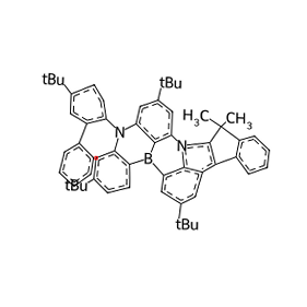 CC(C)(C)c1ccc(N2c3cc(C(C)(C)C)ccc3B3c4c2cc(C(C)(C)C)cc4-n2c4c(c5cc(C(C)(C)C)cc3c52)-c2ccccc2C4(C)C)c(-c2ccccc2)c1